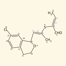 C/C=C(/C=O)S/C(C)=C/C1OCCc2ccc(Cl)cc21